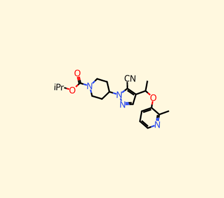 Cc1ncccc1OC(C)c1cnn(C2CCN(C(=O)OC(C)C)CC2)c1C#N